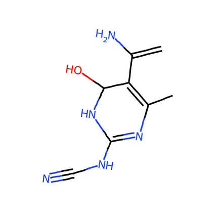 C=C(N)C1=C(C)N=C(NC#N)NC1O